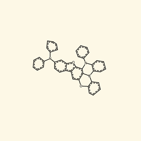 c1ccc(N(c2ccccc2)c2ccc3c(c2)oc2c4c5c(cc23)Oc2ccccc2B5c2ccccc2N4c2ccccc2)cc1